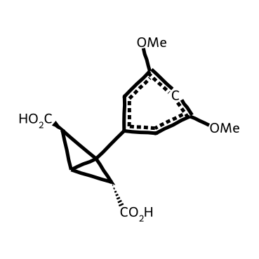 COc1cc(OC)cc(C23C([C@H]2C(=O)O)[C@H]3C(=O)O)c1